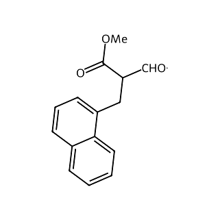 COC(=O)C([C]=O)Cc1cccc2ccccc12